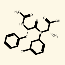 CC(=O)N[C@@H](Cc1ccccc1)C(=O)N(C1C=CC=C(Cl)C1)[C@@H](C)C(=O)O